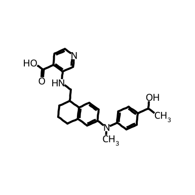 CC(O)c1ccc(N(C)c2ccc3c(c2)CCCC3CNc2cnccc2C(=O)O)cc1